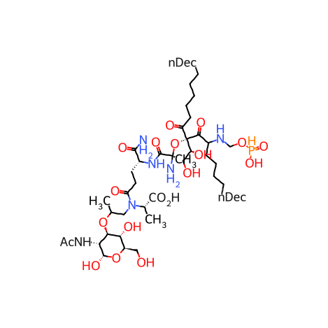 CCCCCCCCCCCCCCCC(=O)[C@@](O[C@@](C)(N)C(=O)N[C@H](CCC(=O)N(CC(C)O[C@H]1[C@H](O)[C@@H](CO)O[C@H](O)[C@@H]1NC(C)=O)[C@@H](C)C(=O)O)C(N)=O)(C(=O)C(CCCCCCCCCCCCCC)NCO[PH](=O)O)[C@@H](O)CO